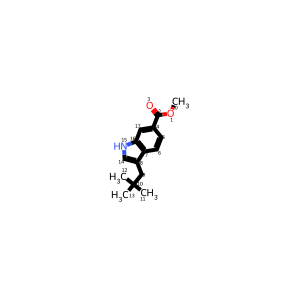 COC(=O)c1ccc2c(CC(C)(C)C)c[nH]c2c1